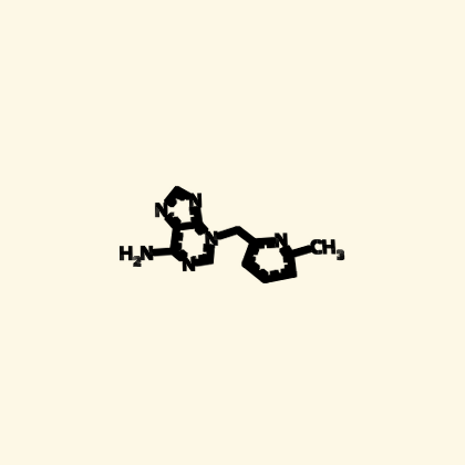 Cc1cccc(Cn2cnc(N)c3ncnc2-3)n1